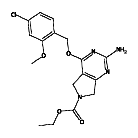 CCOC(=O)N1Cc2nc(N)nc(OCc3ccc(Cl)cc3OC)c2C1